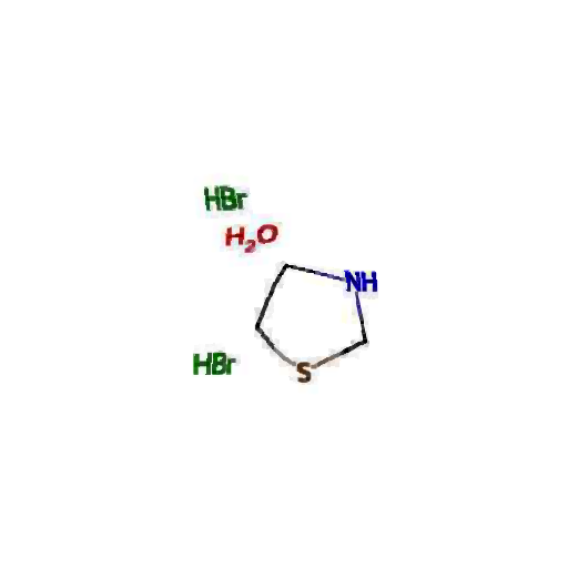 Br.Br.C1CSCN1.O